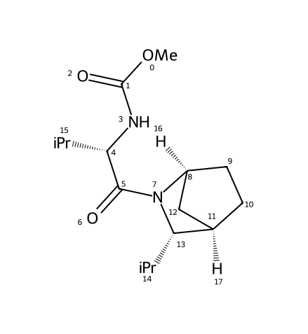 COC(=O)N[C@H](C(=O)N1[C@H]2CC[C@H](C2)[C@@H]1C(C)C)C(C)C